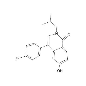 CC(C)Cn1[c]c(-c2ccc(F)cc2)c2cc(O)ccc2c1=O